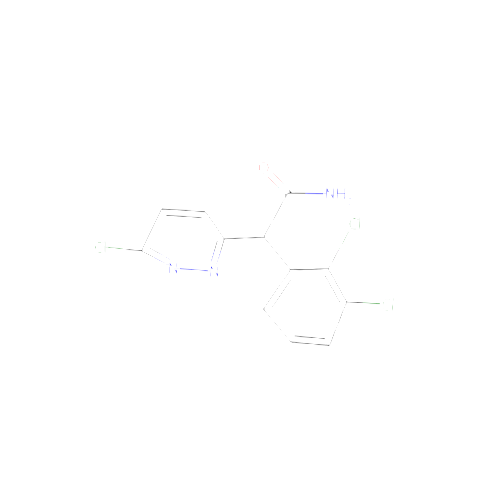 NC(=O)C(c1ccc(Cl)nn1)c1cccc(Cl)c1Cl